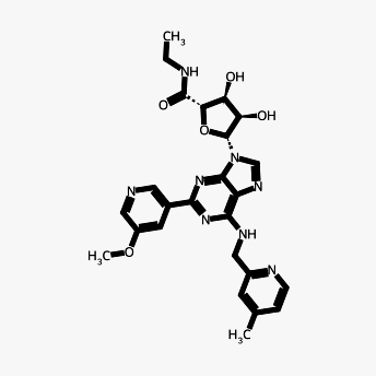 CCNC(=O)[C@H]1O[C@@H](n2cnc3c(NCc4cc(C)ccn4)nc(-c4cncc(OC)c4)nc32)[C@H](O)[C@@H]1O